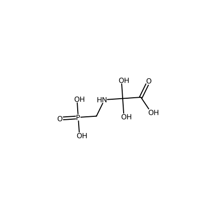 O=C(O)C(O)(O)NCP(=O)(O)O